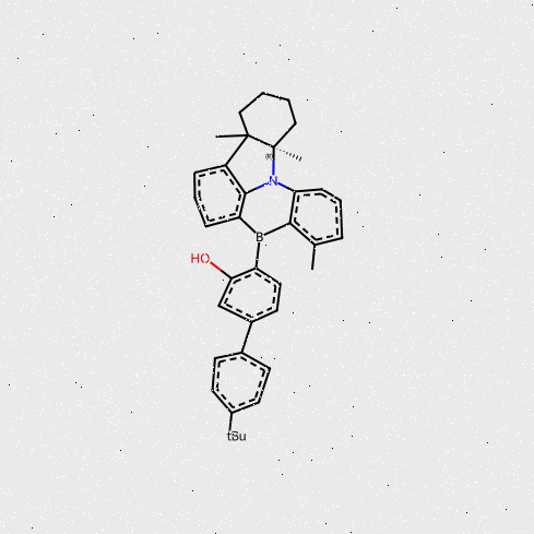 Cc1cccc2c1B(c1ccc(-c3ccc(C(C)(C)C)cc3)cc1O)c1cccc3c1N2[C@]1(C)CCCCC31C